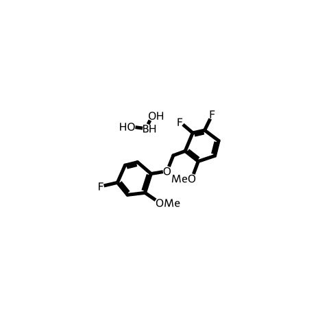 COc1cc(F)ccc1OCc1c(OC)ccc(F)c1F.OBO